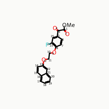 COC(=O)C(=O)c1ccc(OCCOc2ccc3ccccc3c2)c(F)c1